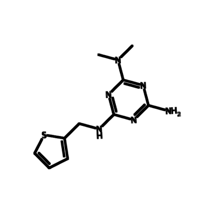 CN(C)c1nc(N)nc(NCc2cccs2)n1